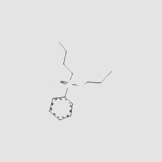 CCCCP(=O)(OCCC)c1ccccc1